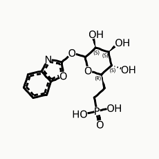 O=P(O)(O)CC[C@H]1OC(Oc2nc3ccccc3o2)[C@@H](O)[C@@H](O)[C@@H]1O